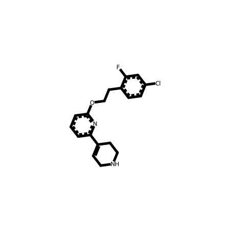 Fc1cc(Cl)ccc1CCOc1cccc(C2=CCNCC2)n1